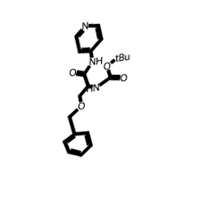 CC(C)(C)OC(=O)NC(COCc1ccccc1)C(=O)Nc1ccncc1